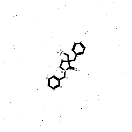 CCC1(Cc2ccccc2)CCN(Cc2ccccc2)C1=O